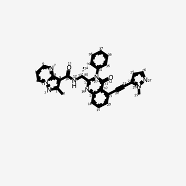 Cc1nn2cccnc2c1C(=O)N[C@H](C)c1nc2cccc(C#Cc3ccnn3C)c2c(=O)n1-c1ccccc1